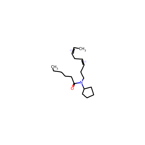 C/C=C\C/C=C\CCN(C(=O)CCCCC)C1CCCC1